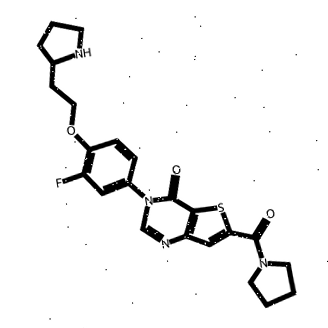 O=C(c1cc2ncn(-c3ccc(OCCC4CCCN4)c(F)c3)c(=O)c2s1)N1CCCC1